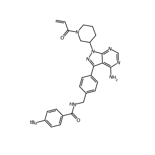 C=CC(=O)N1CCCC(n2nc(-c3ccc(CNC(=O)c4ccc(C(C)(C)C)cc4)cc3)c3c(N)ncnc32)C1